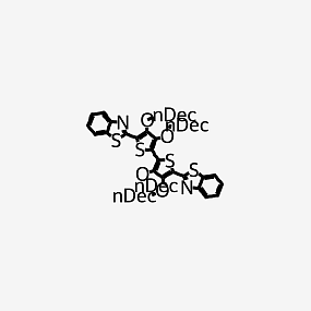 CCCCCCCCCCOc1c(-c2nc3ccccc3s2)sc(-c2sc(-c3nc4ccccc4s3)c(OCCCCCCCCCC)c2OCCCCCCCCCC)c1OCCCCCCCCCC